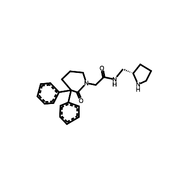 O=C(CN1CCCC(c2ccccc2)(c2ccccc2)C1=O)NC[C@@H]1CCCN1